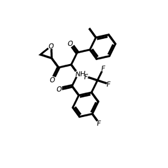 Cc1ccccc1C(=O)C(NC(=O)c1ccc(F)cc1C(F)(F)F)C(=O)C1CO1